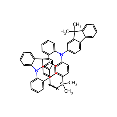 CC1(C)c2ccccc2-c2ccc(N(c3ccc4c(c3)C3(c5ccccc5-n5c6ccccc6c6cccc3c65)c3ccccc3[Si]4(C)C)c3ccccc3-c3ccccc3)cc21